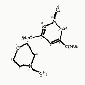 CN1CCOCC1.COC1=CC(OC)=NN(Cl)N1